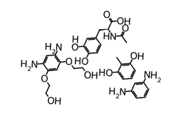 CC(=O)N[C@@H](Cc1ccc(O)c(O)c1)C(=O)O.Cc1c(O)cccc1O.Nc1cc(N)c(OCCO)cc1OCCO.Nc1cccc(N)c1